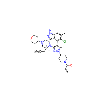 C=CC(=O)N1CCC(n2nc(N3CCN(C4CCOCC4)C[C@]3(C)COC)c(-c3c(Cl)c(C)cc4[nH]ncc34)c2C)CC1